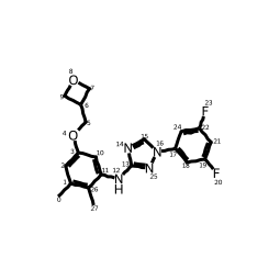 Cc1cc(OCC2COC2)cc(Nc2ncn(-c3cc(F)cc(F)c3)n2)c1C